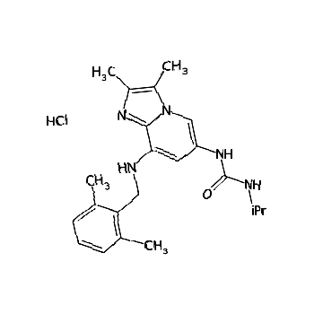 Cc1cccc(C)c1CNc1cc(NC(=O)NC(C)C)cn2c(C)c(C)nc12.Cl